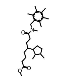 COC(=O)CCCC(CCC(=O)N(C)Cc1c(C)c(C)c(C)c(C)c1C)C1CCC(C)C1C